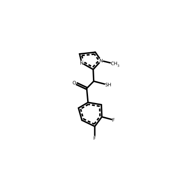 Cn1ccnc1C(S)C(=O)c1ccc(F)c(F)c1